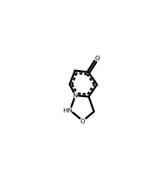 O=c1[c]cn2c(c1)CON2